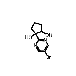 OC1CCCC1(O)c1ncc(Br)cn1